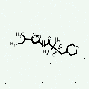 CCC(C)c1cc(NC(=O)C(C)(C)S(=O)(=O)CC2CCOCC2)on1